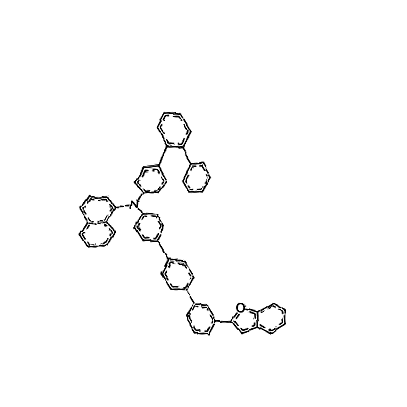 c1ccc(-c2ccccc2-c2ccc(N(c3ccc(-c4ccc(-c5cccc(-c6cc7ccccc7o6)c5)cc4)cc3)c3cccc4ccccc34)cc2)cc1